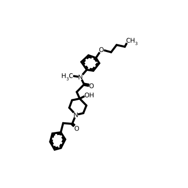 CCCCOc1ccc(N(C)C(=O)CC2(O)CCN(C(=O)Cc3ccccc3)CC2)cc1